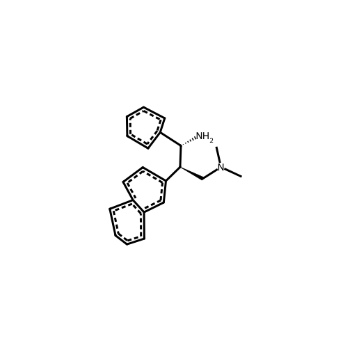 CN(C)C[C@@H](c1ccc2ccccc2c1)[C@@H](N)c1ccccc1